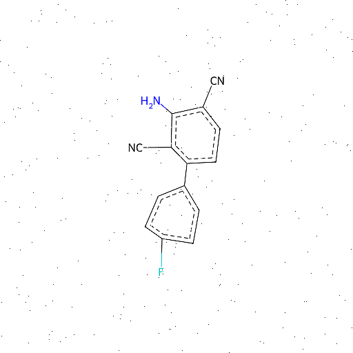 N#Cc1ccc(-c2ccc(F)cc2)c(C#N)c1N